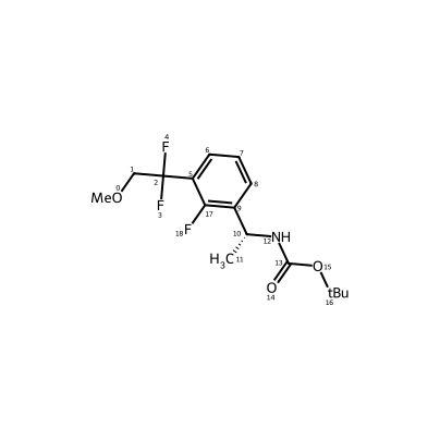 COCC(F)(F)c1cccc([C@@H](C)NC(=O)OC(C)(C)C)c1F